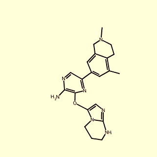 Cc1cc(-c2cnc(N)c(Oc3cnc4n3CCCN4)n2)cc2c1CCN(C)C2